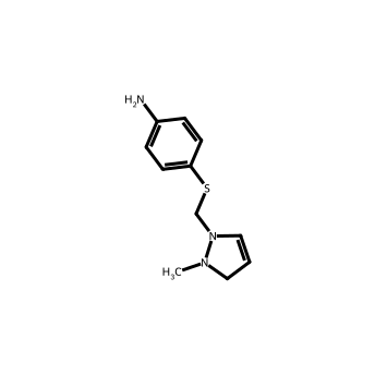 CN1CC=CN1CSc1ccc(N)cc1